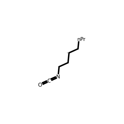 CCCC[CH]CCN=C=O